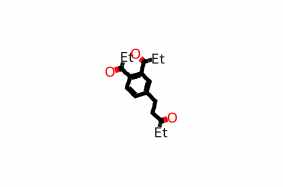 CCC(=O)CCc1ccc(C(=O)CC)c(C(=O)CC)c1